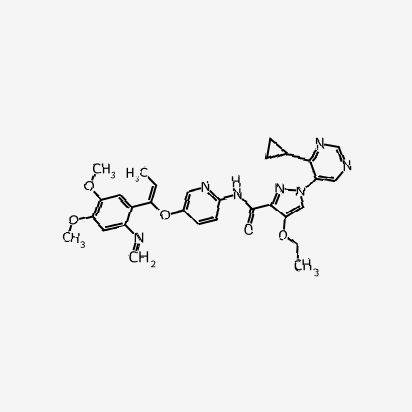 C=Nc1cc(OC)c(OC)cc1/C(=C\C)Oc1ccc(NC(=O)c2nn(-c3cncnc3C3CC3)cc2OCC)nc1